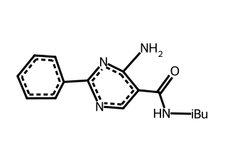 CCC(C)NC(=O)c1cnc(-c2ccccc2)nc1N